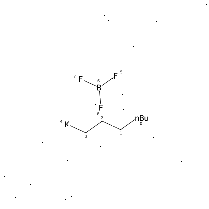 CCCCCC[CH2][K].FB(F)F